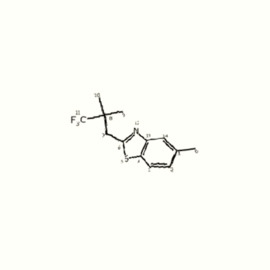 Cc1ccc2sc(CC(C)(C)C(F)(F)F)nc2c1